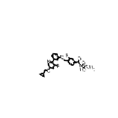 CS(=O)(=O)NC(=O)c1ccc(COc2cccc(-c3ncc(OCC4CC4)cc3F)c2)c(F)c1